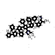 C=C/C=C(\C=C/C)c1c2c3ccc(N(c4ccccc4C)c4c(C)ccc5c(C=C)c(/C=C\C)oc45)c4c5ccccc5n(c2c(-c2ccccc2)c2c5ccc(N(c6ccccc6C)c6c(C)ccc7c6oc6ccccc67)c6c7ccccc7n(c12)c56)c34